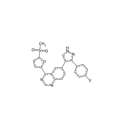 CS(=O)(=O)c1ccc(-c2ncnc3ccc(-c4c[nH]nc4-c4ccc(F)cc4)cc23)o1